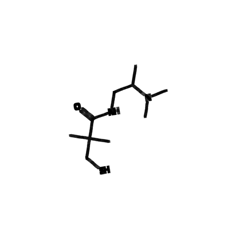 CC(CNC(=O)C(C)(C)CS)N(C)C